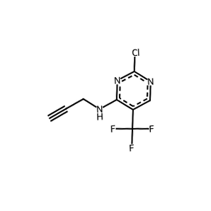 C#CCNc1nc(Cl)ncc1C(F)(F)F